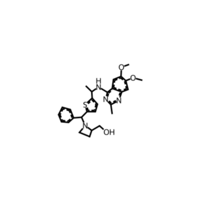 COc1cc2nc(C)nc(NC(C)c3ccc(C(c4ccccc4)N4CCC4CO)s3)c2cc1OC